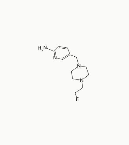 Nc1ccc(CN2CCN(CCF)CC2)cn1